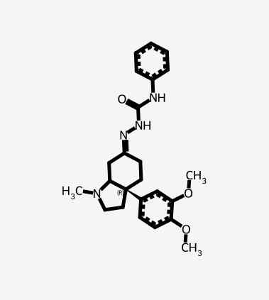 COc1ccc([C@]23CCC(=NNC(=O)Nc4ccccc4)CC2N(C)CC3)cc1OC